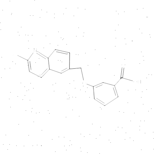 O=C(O)c1cccc(OCc2ccc3nc(Cl)ccc3c2)c1